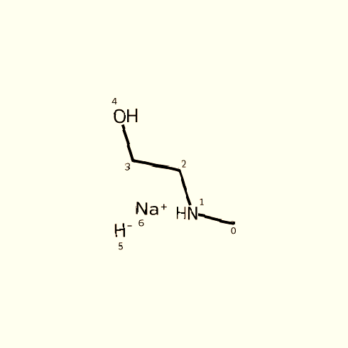 CNCCO.[H-].[Na+]